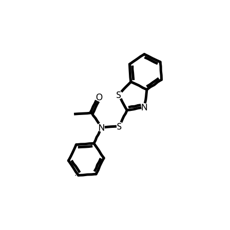 CC(=O)N(Sc1nc2ccccc2s1)c1cc[c]cc1